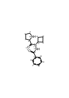 O=C(NN(C(=O)C1CCCN1)C1CCC1)c1ccccc1